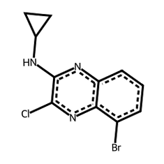 Clc1nc2c(Br)cccc2nc1NC1CC1